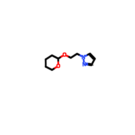 [c]1ccn(CCOC2CCCCO2)n1